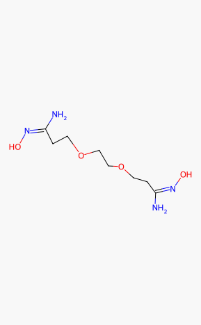 N/C(CCOCCOCC/C(N)=N\O)=N/O